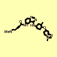 CNCCC#CC(=O)Nc1ccc2ncnc(Nc3ccc(Oc4ccn5c(c4)nc[n+]5C)c(C)c3)c2c1